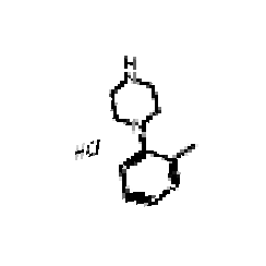 Cc1ccccc1N1CCNCC1.Cl